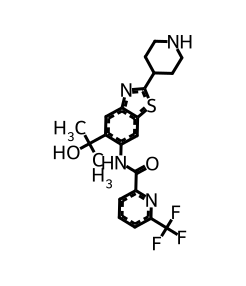 CC(C)(O)c1cc2nc(C3CCNCC3)sc2cc1NC(=O)c1cccc(C(F)(F)F)n1